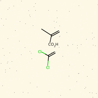 C=C(C)C(=O)O.C=C(Cl)Cl